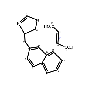 C1=NC(Cc2ccc3ccccc3c2)CN1.O=C(O)/C=C/C(=O)O